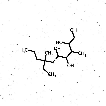 CCCC(C)(CC)CC(O)C(O)C(C)C(O)CO